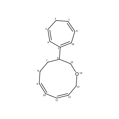 C1=CCC=CC(C2CC/C=C\C=C/COC2)=C1